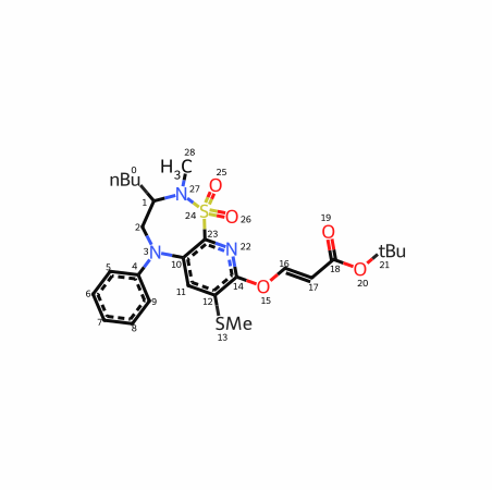 CCCCC1CN(c2ccccc2)c2cc(SC)c(O/C=C/C(=O)OC(C)(C)C)nc2S(=O)(=O)N1C